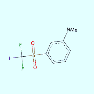 CNc1cccc(S(=O)(=O)C(F)(F)I)c1